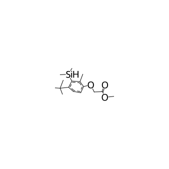 COC(=O)COc1ccc(C(C)(C)C)c([SiH](C)C)c1C